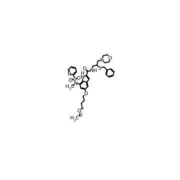 COOSCCCOc1cc(N(C)S(=O)(=O)c2ccccn2)c2[nH]c(C(=O)NCC(CN3CCOCC3)SCc3ccccc3)cc2c1